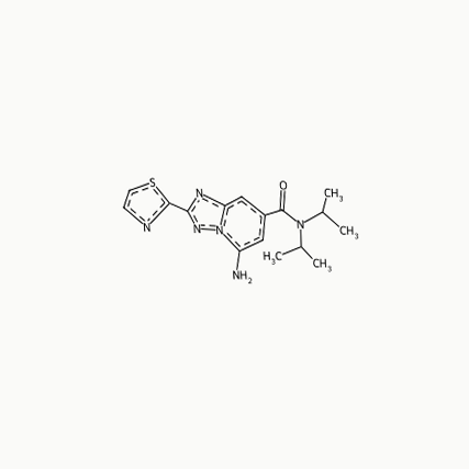 CC(C)N(C(=O)c1cc(N)n2nc(-c3nccs3)nc2c1)C(C)C